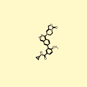 Cc1ccc(C(=O)NC2CC2)cc1-c1ccc2c(N3C=C4COC(=O)N4CC3)nncc2c1